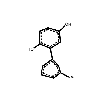 CC(C)c1cccc(-c2cc(O)ccc2O)c1